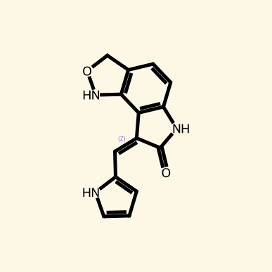 O=C1Nc2ccc3c(c2/C1=C/c1ccc[nH]1)NOC3